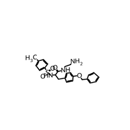 Cc1ccc(S(=O)(=O)NC(Cc2ccc(OCc3ccccc3)cc2)C(=O)NCCN)cc1